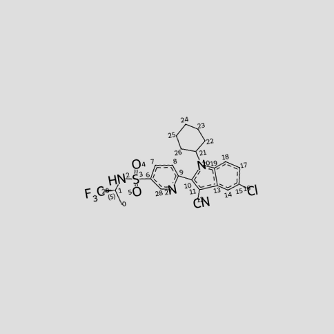 C[C@H](NS(=O)(=O)c1ccc(-c2c(C#N)c3cc(Cl)ccc3n2C2CCCCC2)nc1)C(F)(F)F